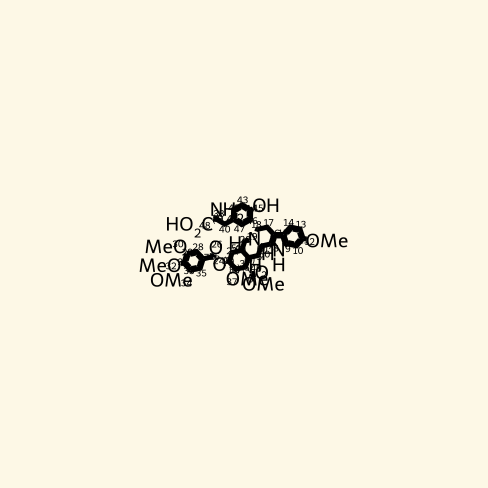 COC(=O)[C@H]1[C@H]2C[C@@H]3c4[nH]c5cc(OC)ccc5c4CCN3C[C@H]2C[C@@H](OC(=O)c2cc(OC)c(OC)c(OC)c2)[C@@H]1OC.N[C@@H](Cc1ccc(O)cc1)C(=O)O